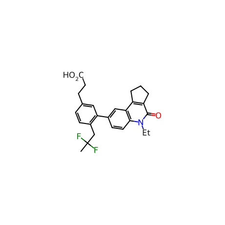 CCn1c(=O)c2c(c3cc(-c4cc(CCC(=O)O)ccc4CC(C)(F)F)ccc31)CCC2